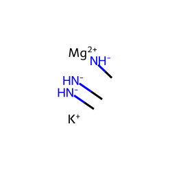 C[NH-].C[NH-].C[NH-].[K+].[Mg+2]